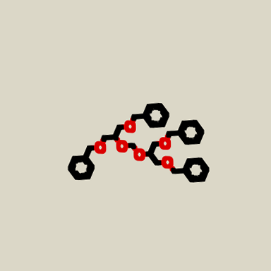 c1ccc(COCC(COCc2ccccc2)OCOC(COCc2ccccc2)COCc2ccccc2)cc1